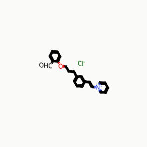 O=Cc1ccccc1OCCCc1cccc(C=C[n+]2ccccc2)c1.[Cl-]